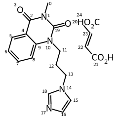 Cn1c(=O)c2ccccc2n(CCCn2ccnc2)c1=O.O=C(O)C=CC(=O)O